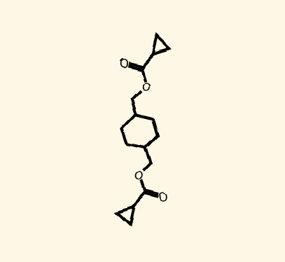 O=C(OCC1CCC(COC(=O)C2CC2)CC1)C1CC1